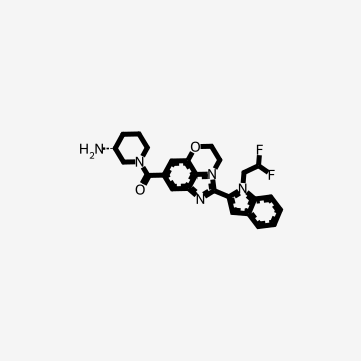 N[C@@H]1CCCN(C(=O)c2cc3c4c(c2)nc(-c2cc5ccccc5n2CC(F)F)n4CCO3)C1